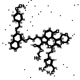 CCOC(=O)c1c(C)c2c(-c3c(CSCc4cc(CC)n(C)n4)nn4c3COCC4)c(Cl)ccc2n1CCCOc1cc(SCc2ccc(OC)cc2)cc2ccccc12